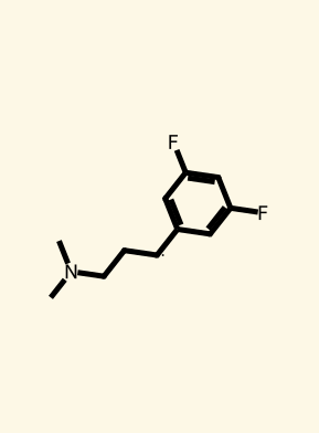 CN(C)CC[CH]c1cc(F)cc(F)c1